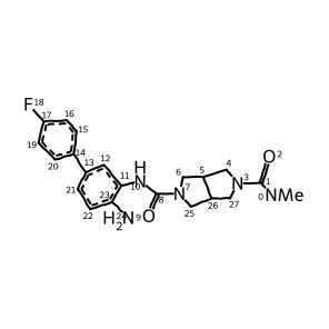 CNC(=O)N1CC2CN(C(=O)Nc3cc(-c4ccc(F)cc4)ccc3N)CC2C1